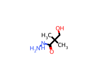 CC(C)(CO)C(=O)NN